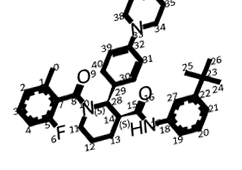 Cc1cccc(F)c1C(=O)N1CCC[C@H](C(=O)Nc2cccc(C(C)(C)C)c2)[C@@H]1C1C=CC(N2CCOCC2)=CC1